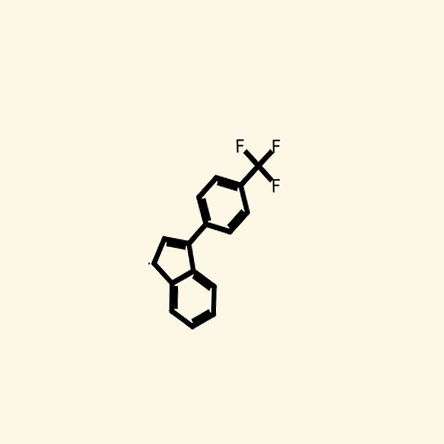 FC(F)(F)c1ccc(C2=C[CH]c3ccccc32)cc1